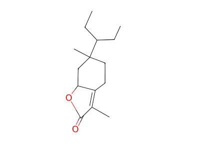 CCC(CC)C1(C)CCC2=C(C)C(=O)OC2C1